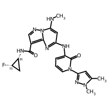 CNc1cc(Nc2cccn(-c3cc(C)n(C)n3)c2=O)nc2c(C(=O)N[C@@H]3C[C@@H]3F)cnn12